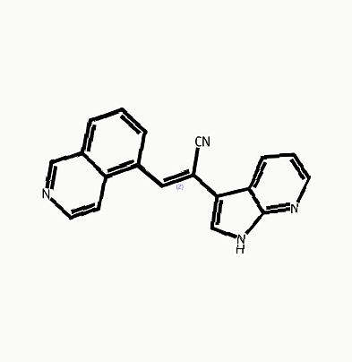 N#C/C(=C\c1cccc2cnccc12)c1c[nH]c2ncccc12